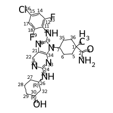 CC1(C(N)=O)CCC(n2c(Nc3c(F)cc(Cl)cc3F)nc3cnc(N[C@@H]4CCC[C@@H](O)C4)nc32)CC1